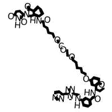 Cn1c(CNc2cccc(C(=O)N[C@H]3CCOc4ccc(OCCCCCCOCCOCCOCCCCCC(=O)Nc5cccc6c5CN(C5CCC(=O)NC5=O)C6=O)cc43)c2)nnc1-c1ccncn1